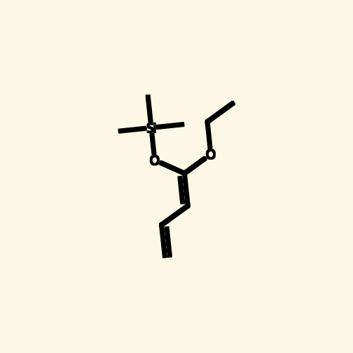 C=CC=C(OCC)O[Si](C)(C)C